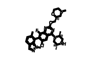 Cc1ccc2cnn(C)c2c1-c1c(Cl)cc2c(N3C[C@@H](C)NC[C@@H]3C)nc(OC[C@@H]3CN(C)CCO3)nc2c1F